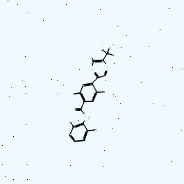 COc1cc(-c2cnc(C(C)(C)O)c(C)n2)c(F)cc1C(=O)Nc1c(F)cccc1Cl